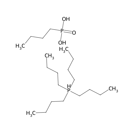 CCCCP(=O)(O)O.CCCC[PH](CCCC)(CCCC)CCCC